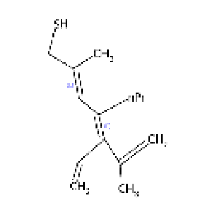 C=C/C(C(=C)C)=C(\C=C(/C)CS)CCC